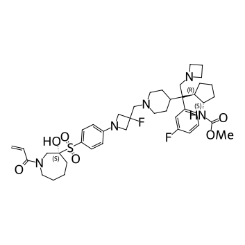 C=CC(=O)N1CCCC[C@](O)(S(=O)(=O)c2ccc(N3CC(F)(CN4CCC(C(CN5CCC5)(c5cccc(F)c5)[C@H]5CCC[C@@H]5NC(=O)OC)CC4)C3)cc2)C1